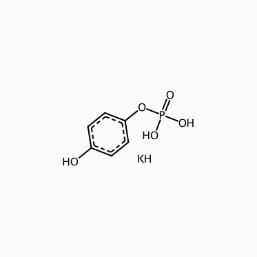 O=P(O)(O)Oc1ccc(O)cc1.[KH]